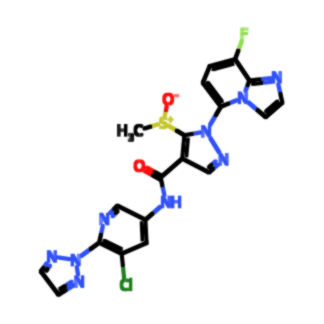 C[S+]([O-])c1c(C(=O)Nc2cnc(-n3nccn3)c(Cl)c2)cnn1-c1ccc(F)c2nccn12